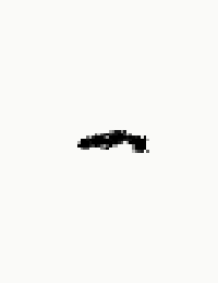 Cc1ccc(-c2ccc(OC(=O)c3ccc(OCCCCc4ncc(C)cn4)cc3)cc2)cc1